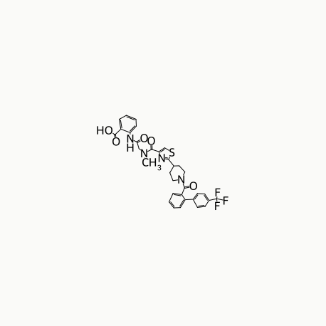 CN(CC(=O)Nc1ccccc1C(=O)O)C(=O)c1csc(C2CCN(C(=O)c3ccccc3-c3ccc(C(F)(F)F)cc3)CC2)n1